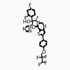 C[C@@H](n1cnc2cc(-c3ccc(OCC(F)(F)C(F)F)cc3)sc2c1=O)[C@](O)(Cn1cncn1)c1ccc(F)cc1F